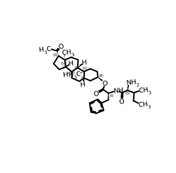 CCC(C)[C@H](N)C(=O)N[C@@H](Cc1ccccc1)C(=O)O[C@@H]1CC[C@@]2(C)[C@@H](CC[C@@H]3[C@@H]2CC[C@]2(C)[C@@H](C(C)=O)CC[C@@H]32)C1